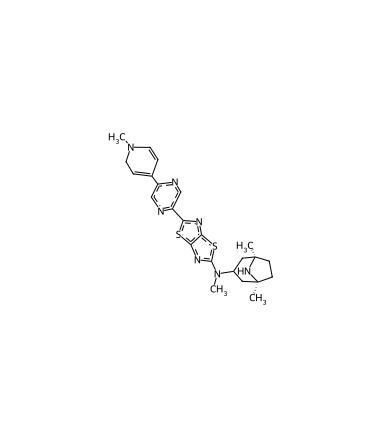 CN1C=CC(c2cnc(-c3nc4sc(N(C)C5C[C@]6(C)CC[C@](C)(C5)N6)nc4s3)cn2)=CC1